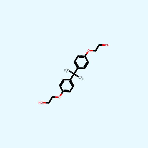 OCCOc1ccc(C(c2ccc(OCCO)cc2)(C(F)(F)F)C(F)(F)F)cc1